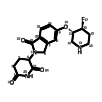 O=C1CCC(N2Cc3cc(O[C@H]4CNCC[C@@H]4F)ccc3C2=O)C(=O)N1